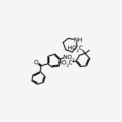 C1CCNCC1.CC1(C(=O)O)C=CC=C(C(=O)O)C1.O=C(c1ccccc1)c1ccc([N+](=O)[O-])cc1